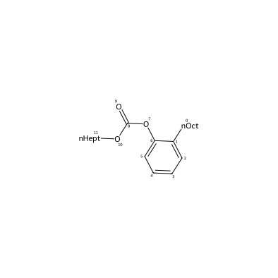 CCCCCCCCc1ccccc1OC(=O)OCCCCCCC